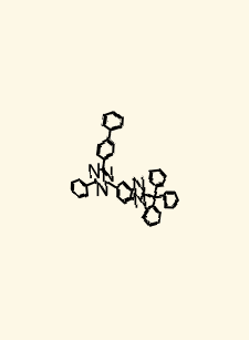 c1ccc(-c2ccc(-c3nc(-c4ccccc4)nc(-c4ccc5c(c4)nc4n5-c5ccccc5C4(c4ccccc4)c4ccccc4)n3)cc2)cc1